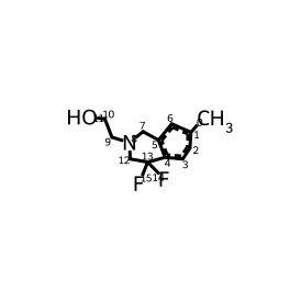 Cc1ccc2c(c1)CN(CCO)CC2(F)F